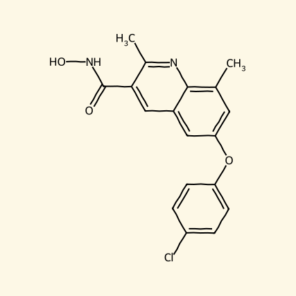 Cc1nc2c(C)cc(Oc3ccc(Cl)cc3)cc2cc1C(=O)NO